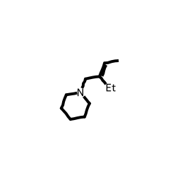 C/C=C(\CC)CN1CCCCC1